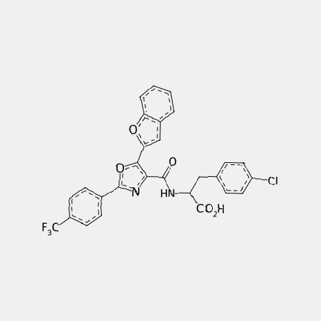 O=C(NC(Cc1ccc(Cl)cc1)C(=O)O)c1nc(-c2ccc(C(F)(F)F)cc2)oc1-c1cc2ccccc2o1